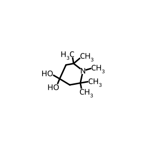 CN1C(C)(C)CC(O)(O)CC1(C)C